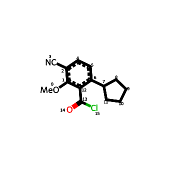 COc1c(C#N)ccc(C2CCCC2)c1C(=O)Cl